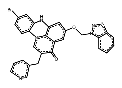 O=c1c(Cc2cccnc2)cn2c3c(cc(OCn4nnc5ccccc54)cc13)Nc1cc(Br)ccc1-2